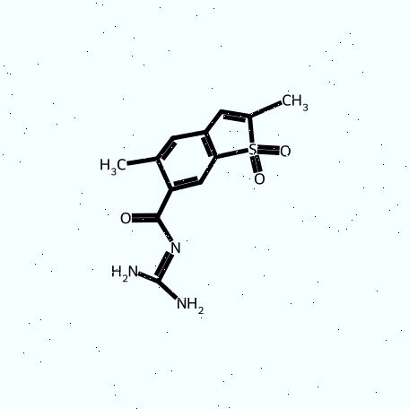 CC1=Cc2cc(C)c(C(=O)N=C(N)N)cc2S1(=O)=O